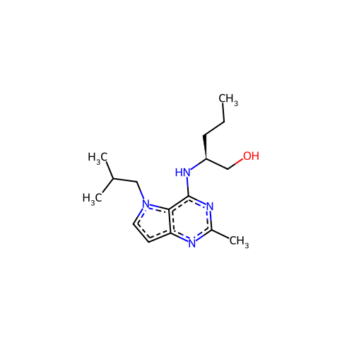 CCC[C@@H](CO)Nc1nc(C)nc2ccn(CC(C)C)c12